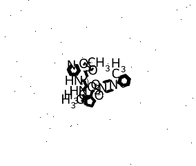 Cc1ccccc1N1CCN(S(=O)(=O)CC23CCC(CC2NC(=O)[C@H](CCS(C)(=O)=O)Nc2ccncc2)C3(C)C)CC1